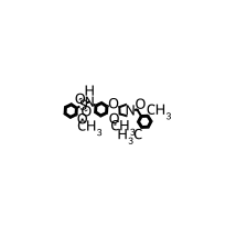 COc1ccccc1S(=O)(=O)Nc1cccc(O[C@H]2CN(C(=O)c3cc(C)ccc3C)C[C@@H]2OC)c1